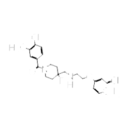 C=C/C=C(\C=C/C)OCCNCC1(F)CCN(C(=O)c2ccc(C)c(C)c2)CC1